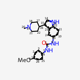 COc1ccc(NC(=O)Nc2ccc3[nH]cc(C4CCN(C)CC4)c3c2)cc1